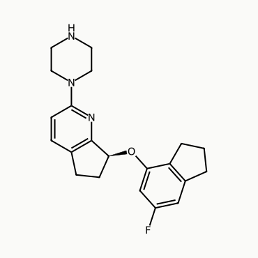 Fc1cc2c(c(O[C@H]3CCc4ccc(N5CCNCC5)nc43)c1)CCC2